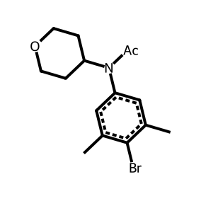 CC(=O)N(c1cc(C)c(Br)c(C)c1)C1CCOCC1